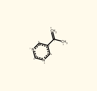 C=C(C)c1cncnc1